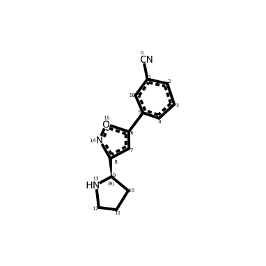 N#Cc1cccc(-c2cc([C@H]3CCCN3)no2)c1